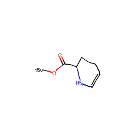 CC(C)(C)OC(=O)C1CC[C]=CN1